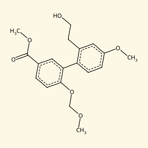 COCOc1ccc(C(=O)OC)cc1-c1ccc(OC)cc1CCO